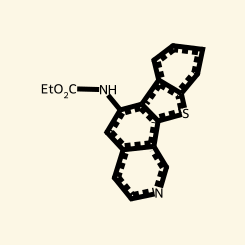 CCOC(=O)Nc1cc2ccncc2c2sc3ccccc3c12